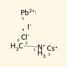 C[NH3+].[Cl-].[Cs+].[I-].[Pb+2]